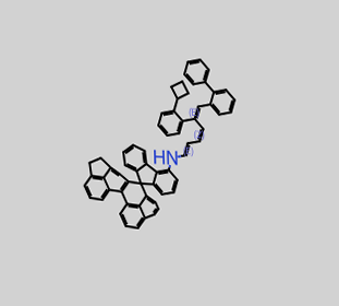 C(=C/C(=C\c1ccccc1-c1ccccc1)c1ccccc1C1CCC1)/C=C/Nc1cccc2c1-c1ccccc1C21c2cc3c4c(cccc4c2-c2cccc4cccc1c24)CC3